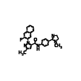 Cc1cc(C(=O)Nc2ccc(C3=NCCN3C)cc2)n(-c2cc3ccccc3cc2F)n1